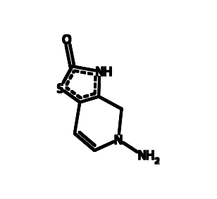 NN1C=Cc2sc(=O)[nH]c2C1